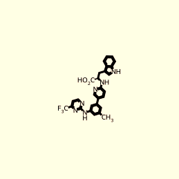 Cc1cc(Nc2nccc(C(F)(F)F)n2)cc(-c2ccc(N[C@H](Cc3c[nH]c4ccccc34)C(=O)O)nc2)c1